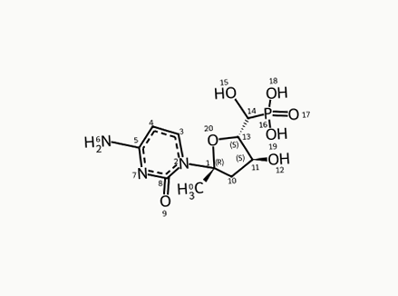 C[C@]1(n2ccc(N)nc2=O)C[C@H](O)[C@@H](C(O)P(=O)(O)O)O1